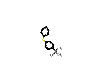 C[Si](C)(C)c1ccc(Sc2ccccc2)cc1